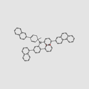 CC1(N(c2ccc(-c3ccc4c(ccc5ccccc54)c3)cc2)c2cc(-c3cccc4ccccc34)ccc2-c2ccccc2)C=CC(c2ccc3ccccc3c2)=CC1